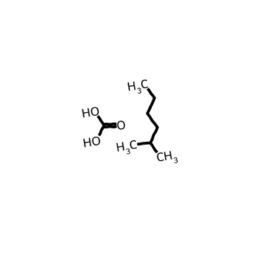 CCCCC(C)C.O=C(O)O